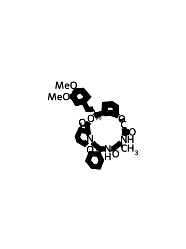 COc1ccc(CC[C@H]2OC(=O)[C@@H]3CCCCN3C(=O)[C@@H](C3CCCCC3)NC(=O)[C@@H](C)NC(=O)COc3cccc2c3)cc1OC